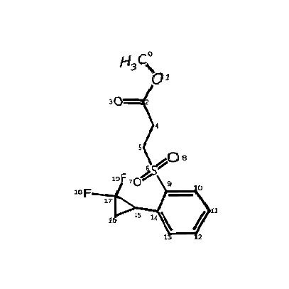 COC(=O)CCS(=O)(=O)c1ccccc1C1CC1(F)F